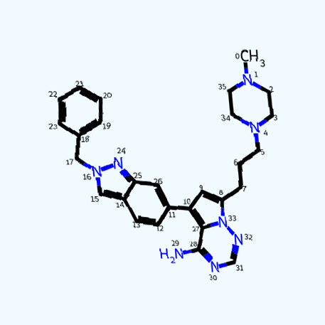 CN1CCN(CCCc2cc(-c3ccc4cn(Cc5ccccc5)nc4c3)c3c(N)ncnn23)CC1